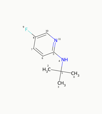 CC(C)(C)Nc1ccc(F)cn1